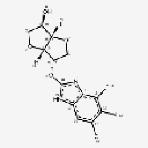 O[C@@H]1CO[C@@H]2[C@H]1OC[C@@H]2Oc1nc2c(F)c(I)c(Cl)cc2[nH]1